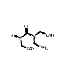 CCN(COC)C(=O)N(COC)COC